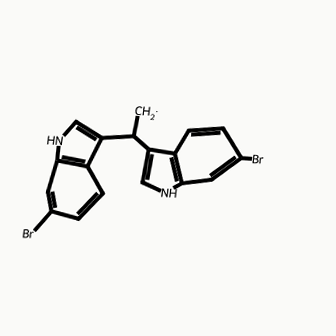 [CH2]C(c1c[nH]c2cc(Br)ccc12)c1c[nH]c2cc(Br)ccc12